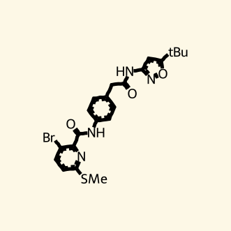 CSc1ccc(Br)c(C(=O)Nc2ccc(CC(=O)Nc3cc(C(C)(C)C)on3)cc2)n1